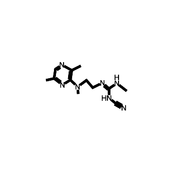 CNC(=NCCN(C)c1nc(C)cnc1C)NC#N